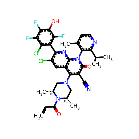 C=CC(=O)N1[C@H](C)CN(c2c(C#N)c(=O)n(-c3c(C)ccnc3C(C)C)c3nc(-c4c(F)c(O)c(F)c(F)c4Cl)c(Cl)cc23)C[C@@H]1C